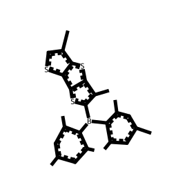 Cc1cc(C)c(B(c2sc3c(sc4c(C)csc43)c2C)c2c(C)cc(C)cc2C)c(C)c1